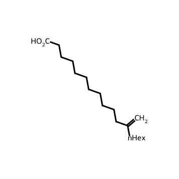 C=C(CCCCCC)CCCCCCCCCCC(=O)O